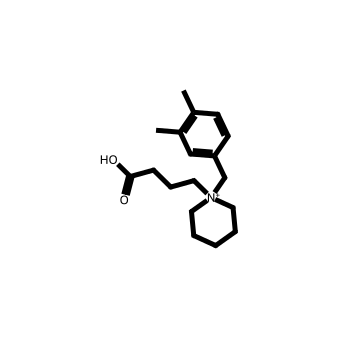 Cc1ccc(C[N+]2(CCCC(=O)O)CCCCC2)cc1C